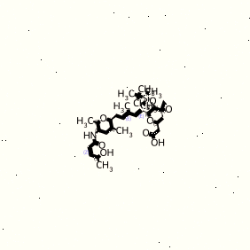 CC(/C=C/[C@H]1O[C@H](CC(=O)O)C[C@@]2(CO2)[C@@H]1O[Si](C)(C)C(C)(C)C)=C\C[C@@H]1O[C@H](C)[C@H](NC(=O)/C=C\[C@H](C)O)C[C@@H]1C